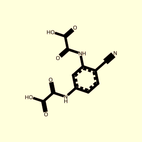 N#Cc1ccc(NC(=O)C(=O)O)cc1NC(=O)C(=O)O